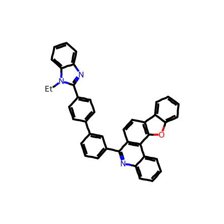 CCn1c(-c2ccc(-c3cccc(-c4nc5ccccc5c5c4ccc4c6ccccc6oc45)c3)cc2)nc2ccccc21